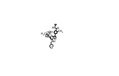 Cc1cc(-c2cnn3c(NCC4CCOCC4)cc(N[C@H](CO)C(C)(C)C)nc23)ccc1C(=O)NC1CC1